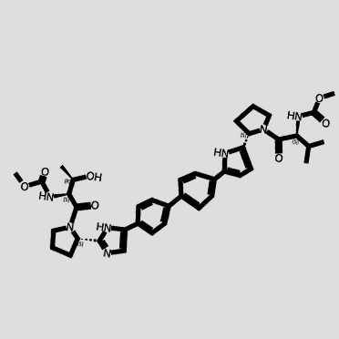 COC(=O)N[C@H](C(=O)N1CCC[C@H]1c1ccc(-c2ccc(-c3ccc(-c4cnc([C@@H]5CCCN5C(=O)[C@@H](NC(=O)OC)[C@@H](C)O)[nH]4)cc3)cc2)[nH]1)C(C)C